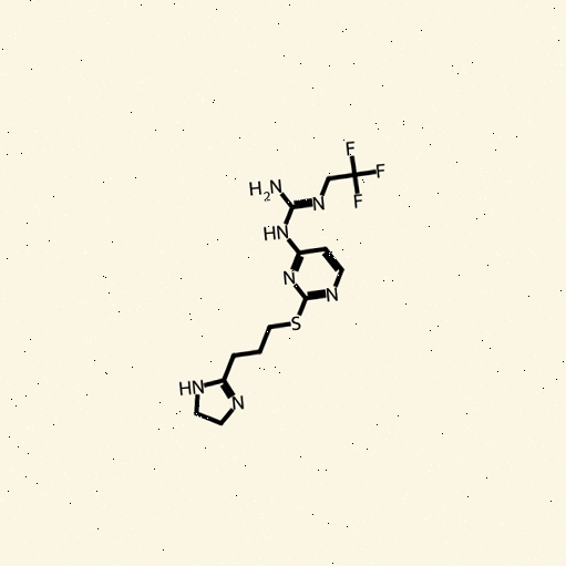 NC(=NCC(F)(F)F)Nc1ccnc(SCCCC2=NCCN2)n1